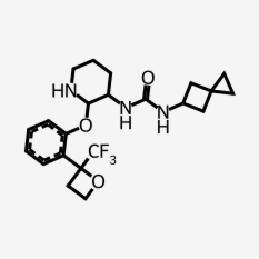 O=C(NC1CC2(CC2)C1)NC1CCCNC1Oc1ccccc1C1(C(F)(F)F)CCO1